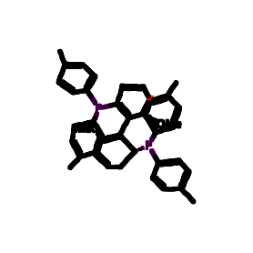 COC1=C(C2=C(P(c3ccc(C)cc3)c3ccc(C)cc3)C=CC[C@H]2OC)[C@H](P(c2ccc(C)cc2)c2ccc(C)cc2)CC=C1